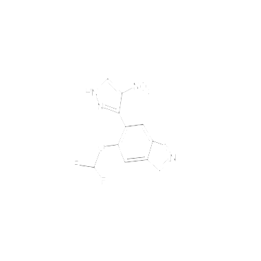 O=[N+]([O-])c1c[nH]nc1-c1cc2sncc2cc1OC(F)F